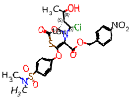 C[C@@H](O)[C@H]1C(=O)N(C(C(=O)OCc2ccc([N+](=O)[O-])cc2)=C(Oc2ccc(S(=O)(=O)N(C)C)cc2)SC(=O)C(C)(C)C)[C@H]1Cl